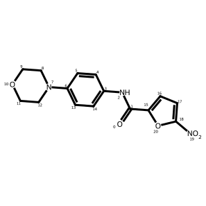 O=C(Nc1ccc(N2CCOCC2)cc1)c1ccc([N+](=O)[O-])o1